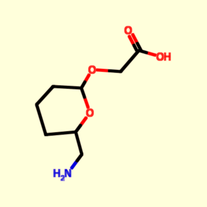 NCC1CCCC(OCC(=O)O)O1